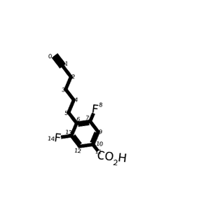 C#CCCCCc1c(F)cc(C(=O)O)cc1F